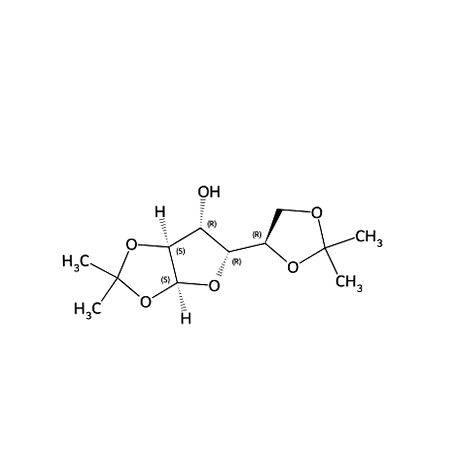 CC1(C)O[C@@H]2O[C@@H]([C@H]3COC(C)(C)O3)[C@@H](O)[C@@H]2O1